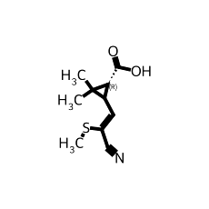 CSC(C#N)=CC1[C@@H](C(=O)O)C1(C)C